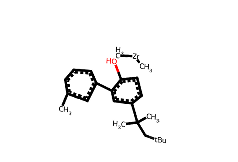 Cc1cccc(-c2cc(C(C)(C)CC(C)(C)C)ccc2O)c1.[CH3][Zr][CH3]